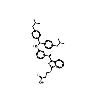 CC(C)Cc1ccc(C(Nc2cccc(C(=O)c3nc(CCCC(=O)O)n4ccccc34)c2)c2ccc(CC(C)C)cc2)cc1